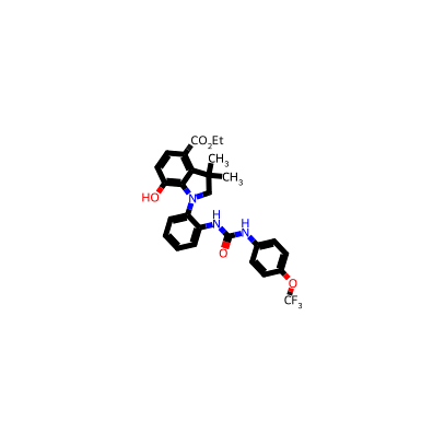 CCOC(=O)c1ccc(O)c2c1C(C)(C)CN2c1ccccc1NC(=O)Nc1ccc(OC(F)(F)F)cc1